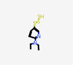 CCN(CC)c1ccc(SSS)cn1